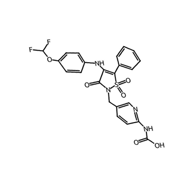 O=C(O)Nc1ccc(CN2C(=O)C(Nc3ccc(OC(F)F)cc3)=C(c3ccccc3)S2(=O)=O)cn1